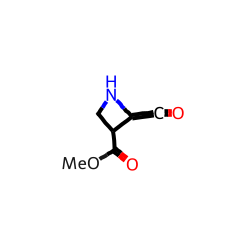 COC(=O)C1CNC1=C=O